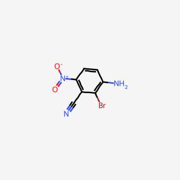 N#Cc1c([N+](=O)[O-])ccc(N)c1Br